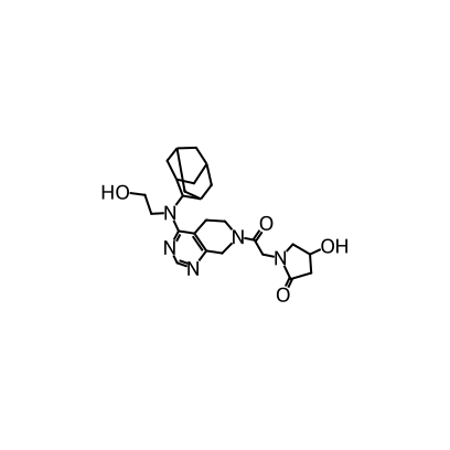 O=C(CN1CC(O)CC1=O)N1CCc2c(ncnc2N(CCO)C2C3CC4CC(C3)CC2C4)C1